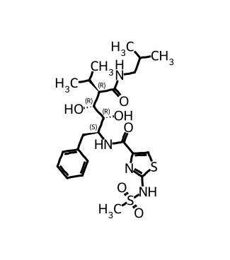 CC(C)CNC(=O)[C@H](C(C)C)[C@@H](O)[C@H](O)[C@H](Cc1ccccc1)NC(=O)c1csc(NS(C)(=O)=O)n1